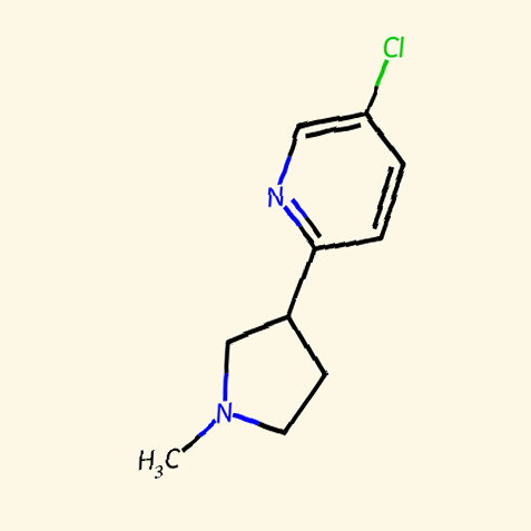 CN1CCC(c2ccc(Cl)cn2)C1